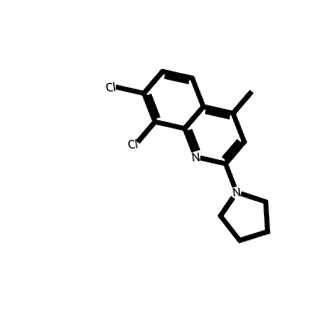 Cc1cc(N2CCCC2)nc2c(Cl)c(Cl)ccc12